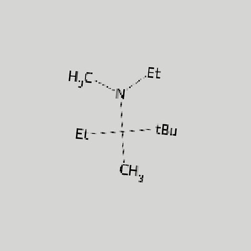 CCN(C)C(C)(CC)C(C)(C)C